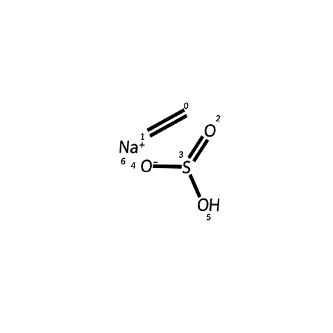 C=C.O=S([O-])O.[Na+]